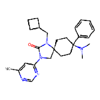 CN(C)[C@]1(c2ccccc2)CC[C@@]2(CC1)CN(c1cc(C#N)ncn1)C(=O)N2CC1CCC1